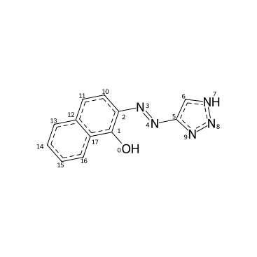 Oc1c(N=Nc2c[nH]nn2)ccc2ccccc12